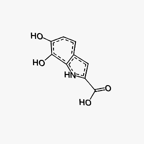 O=C(O)c1cc2ccc(O)c(O)c2[nH]1